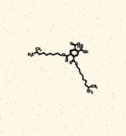 CC(C)CCCCCCCOC(=O)c1cc(C(=O)O)c(C(=O)O)cc1C(=O)OCCCCCCCC(C)C